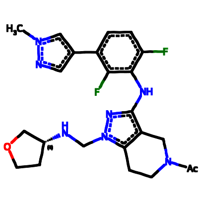 CC(=O)N1CCc2c(c(Nc3c(F)ccc(-c4cnn(C)c4)c3F)nn2CN[C@@H]2CCOC2)C1